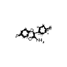 NC(=O)C(Oc1ccc(F)cc1)c1ccc(F)cc1